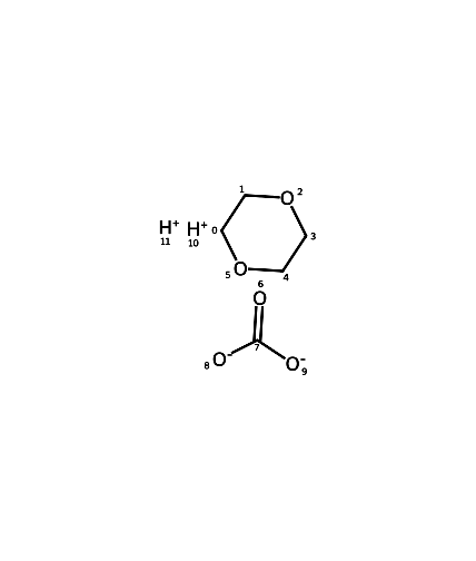 C1COCCO1.O=C([O-])[O-].[H+].[H+]